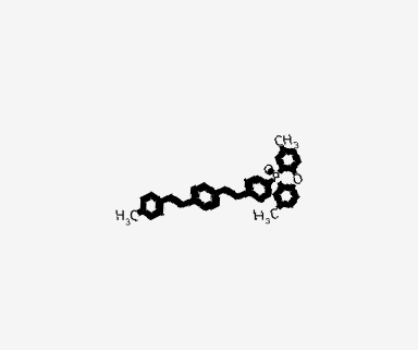 Cc1ccc(/C=C/c2ccc(/C=C/c3ccc(P4(=O)c5cc(C)ccc5Oc5ccc(C)cc54)cc3)cc2)cc1